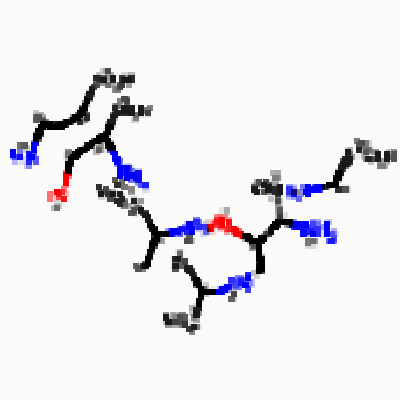 CC(C)C(N)C(=O)O.CC(N)C(=O)O.CC(O)C(N)C(=O)O.NC(CO)C(=O)O.NCC(=O)O.NCCS(=O)(=O)O